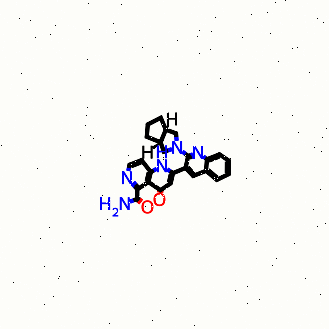 NC(=O)c1nccc2[nH]c(-c3cc4ccccc4nc3N3C[C@@H]4CCC[C@H]4C3)cc(=O)c12